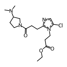 CCOC(=O)CCn1c(Cl)cnc1CCC(=O)N1CCC(N(C)C)C1